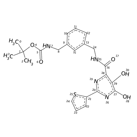 CC(C)(C)OC(=O)NCc1cccc(CNC(=O)c2nc(-c3cccs3)nc(O)c2O)c1